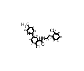 Cc1ccc(-c2ccc(Cl)c(C(=O)NCCc3ccccc3Cl)c2)nc1